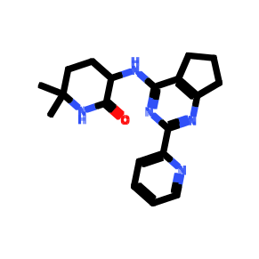 CC1(C)CCC(Nc2nc(-c3ccccn3)nc3c2CCC3)C(=O)N1